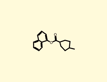 CC1CCC(C(=O)Oc2cccc3ccccc23)CC1